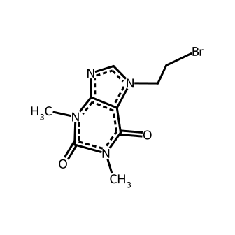 Cn1c(=O)c2c(ncn2CCBr)n(C)c1=O